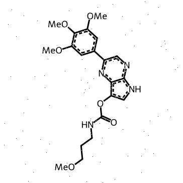 COCCCNC(=O)Oc1c[nH]c2ncc(-c3cc(OC)c(OC)c(OC)c3)nc12